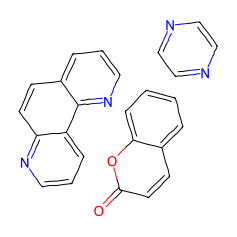 O=c1ccc2ccccc2o1.c1cnc2c(c1)ccc1ncccc12.c1cnccn1